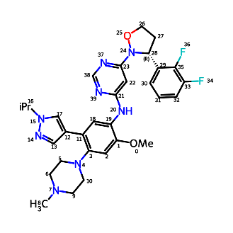 COc1cc(N2CCN(C)CC2)c(-c2cnn(C(C)C)c2)cc1Nc1cc(N2OCC[C@@H]2c2cccc(F)c2F)ncn1